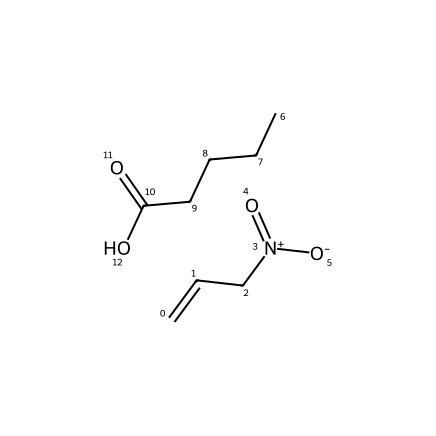 C=CC[N+](=O)[O-].CCCCC(=O)O